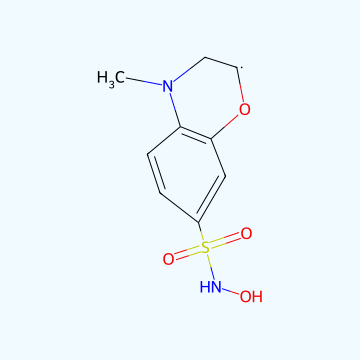 CN1C[CH]Oc2cc(S(=O)(=O)NO)ccc21